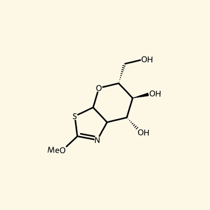 COC1=NC2C(O[C@H](CO)[C@@H](O)[C@@H]2O)S1